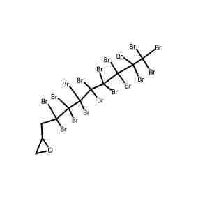 BrC(Br)(Br)C(Br)(Br)C(Br)(Br)C(Br)(Br)C(Br)(Br)C(Br)(Br)C(Br)(Br)C(Br)(Br)CC1CO1